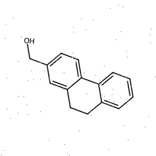 OCc1ccc2c(c1)CCc1ccccc1-2